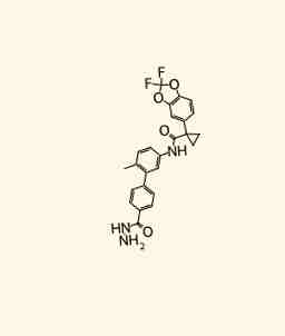 Cc1ccc(NC(=O)C2(c3ccc4c(c3)OC(F)(F)O4)CC2)cc1-c1ccc(C(=O)NN)cc1